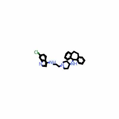 Clc1ccc2c(NCCCN3CCC(NC4c5ccccc5CCc5ccccc54)CC3)ccnc2c1